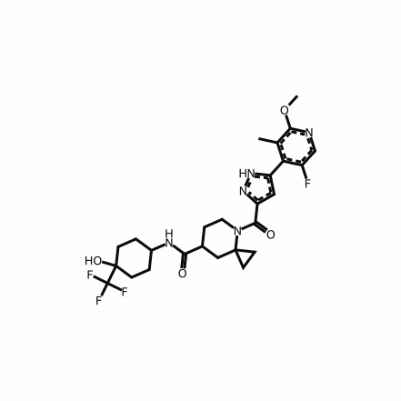 COc1ncc(F)c(-c2cc(C(=O)N3CCC(C(=O)NC4CCC(O)(C(F)(F)F)CC4)CC34CC4)n[nH]2)c1C